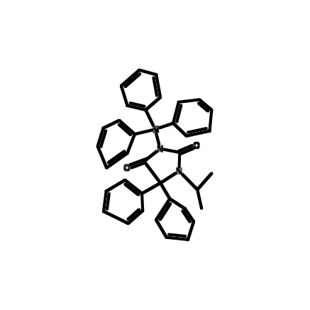 CC(C)N1C(=O)N([Si](c2ccccc2)(c2ccccc2)c2ccccc2)C(=O)C1(c1ccccc1)c1ccccc1